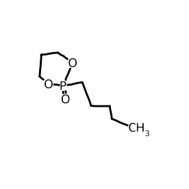 CCCCCP1(=O)OCCCO1